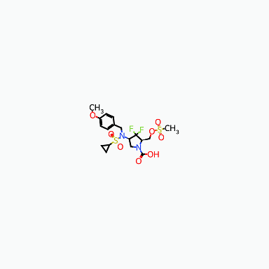 COc1ccc(CN([C@@H]2CN(C(=O)O)[C@H](COS(C)(=O)=O)C2(F)F)S(=O)(=O)C2CC2)cc1